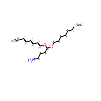 CCCCCCCCCCCCCCCCOC(CCCN)OCCCCCCCCCCCCCCCC